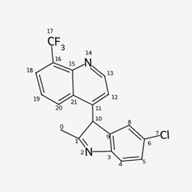 CC1=Nc2ccc(Cl)cc2C1c1ccnc2c(C(F)(F)F)cccc12